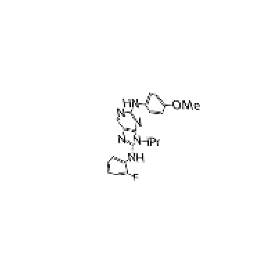 COc1ccc(Nc2ncc3nc(Nc4ccccc4F)n(C(C)C)c3n2)cc1